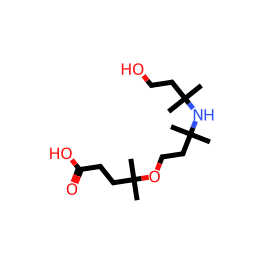 CC(C)(CCO)NC(C)(C)CCOC(C)(C)CCC(=O)O